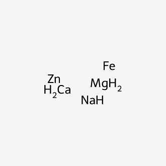 [CaH2].[Fe].[MgH2].[NaH].[Zn]